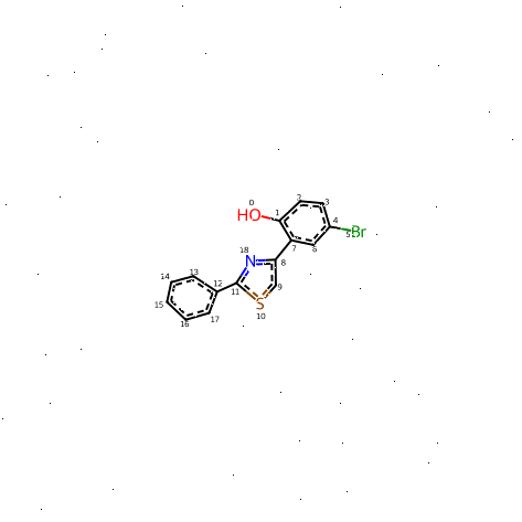 Oc1ccc(Br)cc1-c1csc(-c2ccccc2)n1